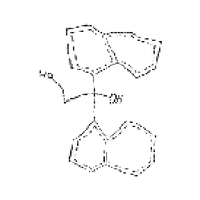 OCC(O)(c1cccc2ccccc12)c1cccc2ccccc12